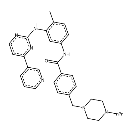 CCCN1CCN(Cc2ccc(C(=O)Nc3ccc(C)c(Nc4nccc(-c5cccnc5)n4)c3)cc2)CC1